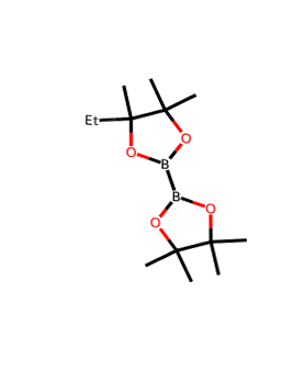 CCC1(C)OB(B2OC(C)(C)C(C)(C)O2)OC1(C)C